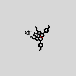 CCCC1=Cc2c(-c3ccc(CC)cc3)cccc2[CH]1[Zr+2]1([CH]2C(CCC)=Cc3c(-c4ccc(CC)cc4)cccc32)[CH2][CH2]1.[Cl-].[Cl-]